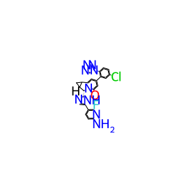 Nc1ccc(-c2cnc([C@@H]3[C@H]4CC4c4cc(-c5cc(Cl)ccc5-n5cnnn5)cc(=O)n43)[nH]2)c(F)n1